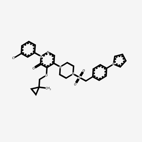 CC1(COc2c(N3CCN(S(=O)(=O)Cc4ccc(-n5cccc5)cc4)CC3)cnn(-c3cccc(Cl)c3)c2=O)CC1